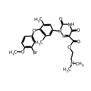 COc1ccc(Oc2c(C)cc(-n3nc(C(=O)OCCN(C)C)c(=O)[nH]c3=O)cc2C)cc1Br